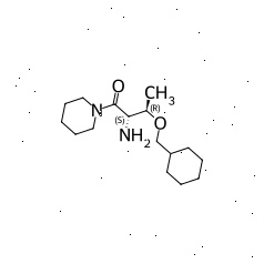 C[C@@H](OCC1CCCCC1)[C@H](N)C(=O)N1CCCCC1